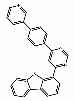 c1cncc(-c2ccc(-c3cc(-c4cccc5c4sc4ccccc45)ncn3)cc2)c1